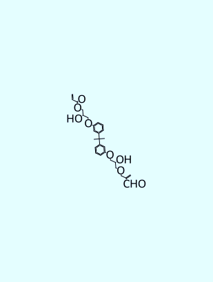 C=CC(=O)OCC(O)COc1cccc(C(C)(C)c2cccc(OCC(O)COCC(=C)C=O)c2)c1